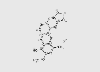 COc1cc(C)c2cc3c4cc5c(cc4cc[n+]3cc2c1O)OCO5.[Br-]